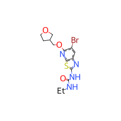 CCNC(=O)Nc1nc2cc(Br)c(OCC3CCOC3)nc2s1